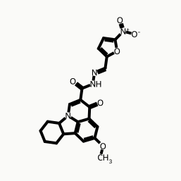 COc1cc2c3c(c1)c(=O)c(C(=O)NN=Cc1ccc([N+](=O)[O-])o1)cn3C1CCCCC21